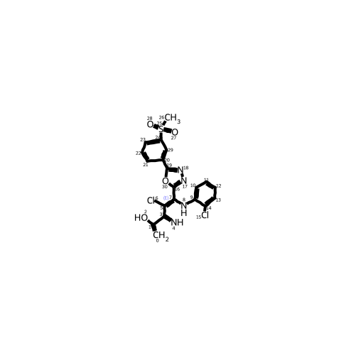 C=C(O)C(=N)/C(Cl)=C(\Nc1ccccc1Cl)c1nnc(-c2cccc(S(C)(=O)=O)c2)o1